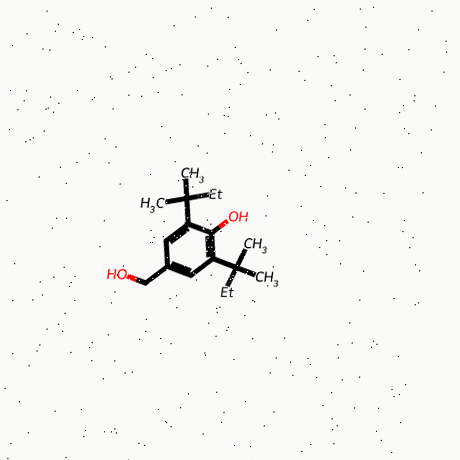 CCC(C)(C)c1cc(CO)cc(C(C)(C)CC)c1O